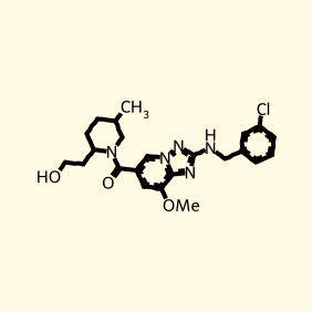 COc1cc(C(=O)N2CC(C)CCC2CCO)cn2nc(NCc3cccc(Cl)c3)nc12